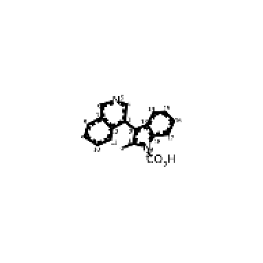 Cc1c(-c2cncc3ccccc23)c2ccccc2n1C(=O)O